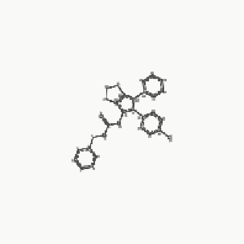 O=C(OCc1ccccc1)Oc1c(-c2ccc(Cl)cc2)c(-c2ccccc2)c2n1CCC2